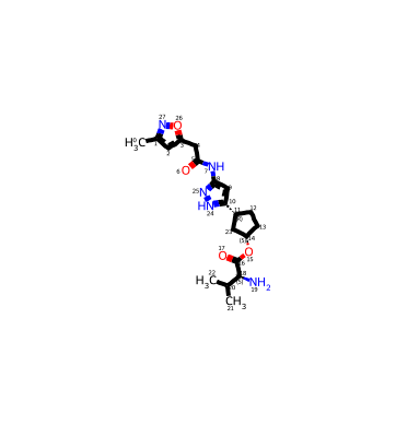 Cc1cc(CC(=O)Nc2cc([C@@H]3CC[C@H](OC(=O)[C@@H](N)C(C)C)C3)[nH]n2)on1